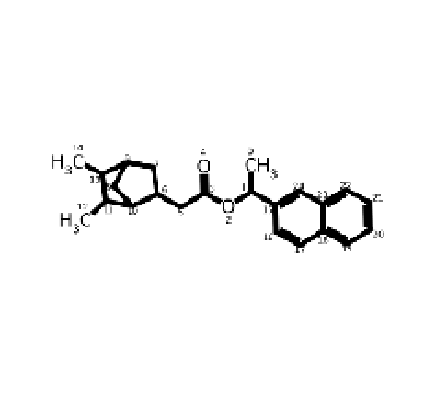 CC(OC(=O)CC1CC2CC1C(C)C2C)c1ccc2ccccc2c1